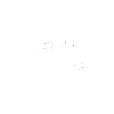 Cl.NCc1ccc(CNC(=O)N2CCC(Cc3ccc(F)cc3)CC2)cc1